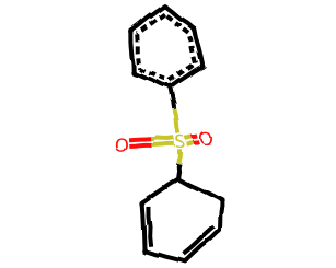 O=S(=O)(c1ccccc1)C1C=CC=CC1